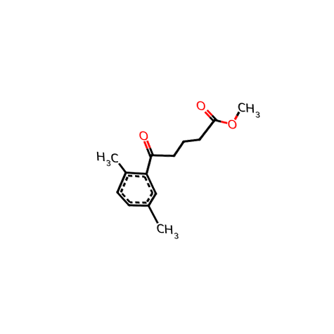 COC(=O)CCCC(=O)c1cc(C)ccc1C